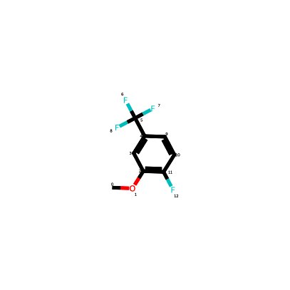 COc1cc(C(F)(F)F)ccc1F